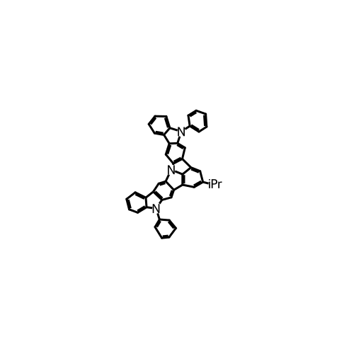 CC(C)c1cc2c3cc4c(cc3n3c5cc6c7ccccc7n(-c7ccccc7)c6cc5c(c1)c23)c1ccccc1n4-c1ccccc1